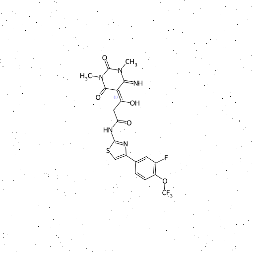 CN1C(=N)/C(=C(\O)CC(=O)Nc2nc(-c3ccc(OC(F)(F)F)c(F)c3)cs2)C(=O)N(C)C1=O